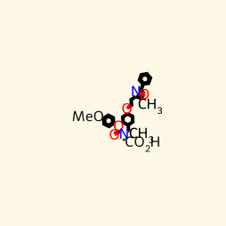 COc1ccc(OC(=O)N(CC(=O)O)C(C)C2CCC(OCCc3nc(-c4ccccc4)oc3C)CC2)cc1